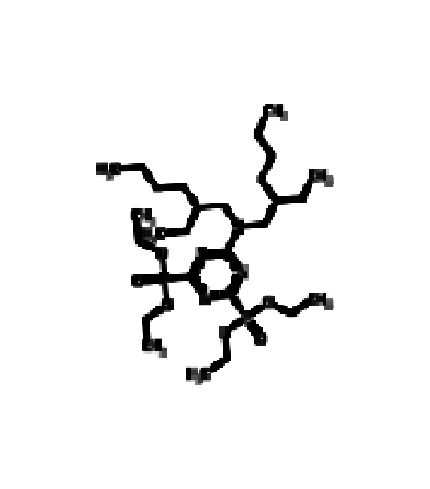 CCCCC(CC)CN(CC(CC)CCCC)c1nc(P(=O)(OCC)OCC)nc(P(=O)(OCC)OCC)n1